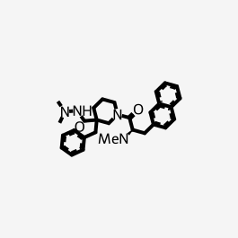 CN[C@H](Cc1ccc2ccccc2c1)C(=O)N1CCCC(Cc2ccccc2)(C(=O)NN(C)C)C1